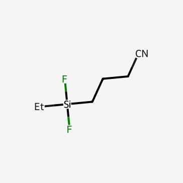 CC[Si](F)(F)CCCC#N